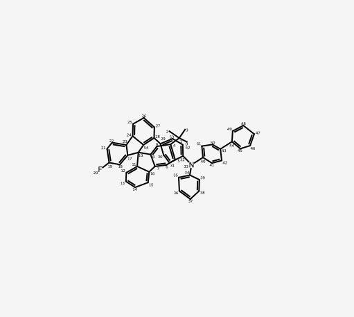 CC(C)(C)c1ccc2c(c1)C1(c3ccccc3-2)c2cc(F)ccc2-c2cccc(-c3ccc(N(c4ccccc4)c4ccc(-c5ccccc5)cc4)cc3)c21